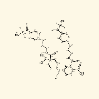 CC(C)(O)C(=O)c1ccc(OCCOC(=O)c2cc(C(=O)C3C=CC(C(=O)O)(C(=O)OCCOc4ccc(C(=O)C(C)(C)O)cc4)C=C3)ccc2C(=O)O)cc1